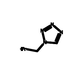 C[C](C)Cn1cnnn1